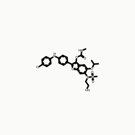 CNC(=O)Oc1c(-c2ccc(Nc3ccc(Cl)cc3)cc2)oc2cc(N(CCO)S(C)(=O)=O)c(OC(C)C)cc12